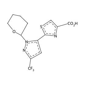 O=C(O)c1csc(-c2cc(C(F)(F)F)nn2C2CCCCO2)n1